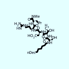 CCCCCCCCCCCCCCCC(=O)N[C@@H](CO)C(=O)N[C@H](C(=O)N[C@@H](CC(=O)O)C(=O)N[C@@H](CCCNC(=N)N)C(=O)N[C@@H](CC(C)C)C(=O)NC)[C@@H](C)O